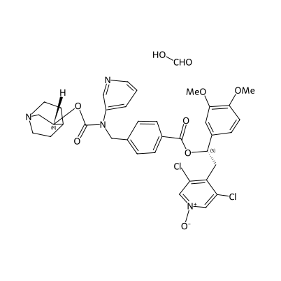 COc1ccc([C@H](Cc2c(Cl)c[n+]([O-])cc2Cl)OC(=O)c2ccc(CN(C(=O)O[C@H]3CN4CCC3CC4)c3cccnc3)cc2)cc1OC.O=CO